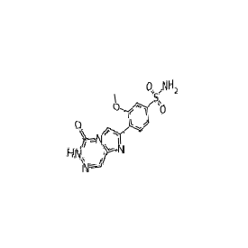 COc1cc(S(N)(=O)=O)ccc1-c1cn2c(=O)[nH]ncc2n1